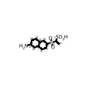 C=C(S(=O)(=O)O)S(=O)(=O)c1ccc2cc(N)ccc2c1